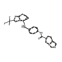 O=C(Nc1ccc(Nc2cccc3nc(C(F)(F)F)cn23)cc1)c1ccc2cncn2c1